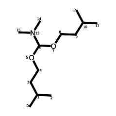 CC(C)CCOC(OCCC(C)C)N(C)C